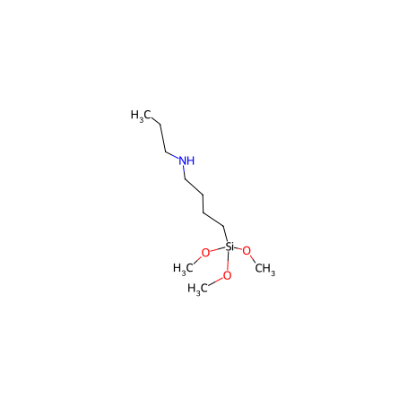 CCCNCCCC[Si](OC)(OC)OC